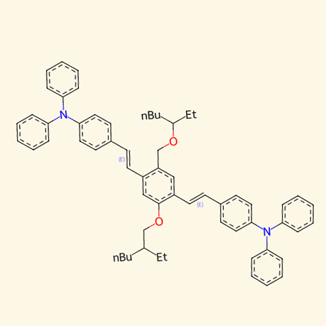 CCCCC(CC)COc1cc(/C=C/c2ccc(N(c3ccccc3)c3ccccc3)cc2)c(COC(CC)CCCC)cc1/C=C/c1ccc(N(c2ccccc2)c2ccccc2)cc1